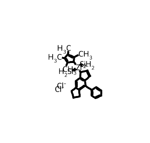 CC1=C(C)[CH]([Zr-2](=[SiH2])(=[SiH2])[CH]2C=Cc3c2cc2c(c3-c3ccccc3)CCC2)C(C)=C1C.[Cl-].[Cl-]